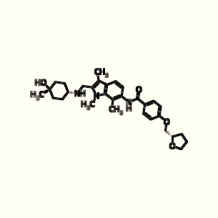 Cc1c(CN[C@H]2CC[C@@](C)(O)CC2)n(C)c2c(C)c(NC(=O)c3ccc(OC[C@@H]4CCCO4)cc3)ccc12